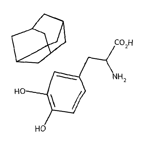 C1C2CC3CC1CC(C2)C3.NC(Cc1ccc(O)c(O)c1)C(=O)O